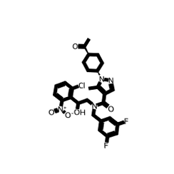 Cc1c(C(=O)N(Cc2cc(F)cc(F)c2)CC(O)c2c(Cl)cccc2[N+](=O)[O-])cnn1[C@H]1CC[C@H](C(C)=O)CC1